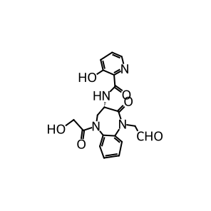 O=CCN1C(=O)[C@@H](NC(=O)c2ncccc2O)CN(C(=O)CO)c2ccccc21